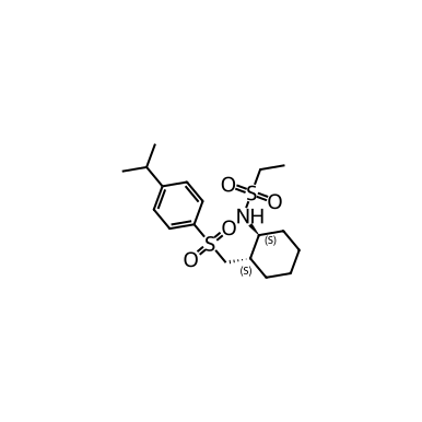 CCS(=O)(=O)N[C@H]1CCCC[C@@H]1CS(=O)(=O)c1ccc(C(C)C)cc1